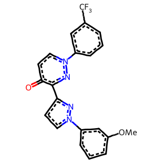 COc1cccc(-n2ccc(-c3nn(-c4cccc(C(F)(F)F)c4)ccc3=O)n2)c1